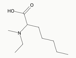 CCCCCC(C(=O)O)N(C)CC